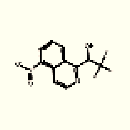 O=[N+]([O-])c1cccc2c(C(O)C(F)(F)F)nccc12